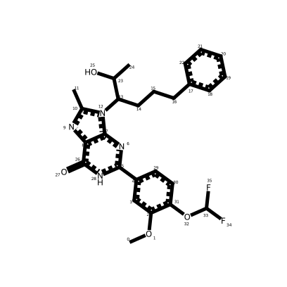 COc1cc(-c2nc3c(nc(C)n3C(CCCc3ccccc3)C(C)O)c(=O)[nH]2)ccc1OC(F)F